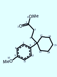 COC(=O)CCC1(c2ccc(OC)cc2)CCCCC1